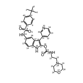 CC(C)(C)c1ccc(S(=O)(=O)Nc2ccc3[nH]c(OC(=O)NCCN4CCOCC4)c(-c4cccnc4)c3c2)cc1